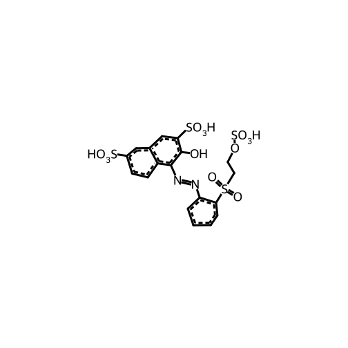 O=S(=O)(O)OCCS(=O)(=O)c1ccccc1N=Nc1c(O)c(S(=O)(=O)O)cc2cc(S(=O)(=O)O)ccc12